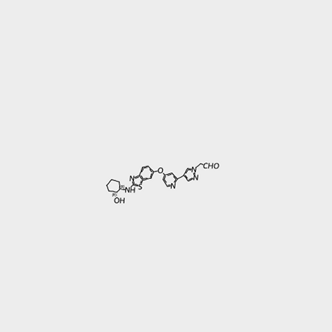 O=CCn1cc(-c2cc(Oc3ccc4nc(N[C@@H]5CCCC[C@H]5O)sc4c3)ccn2)cn1